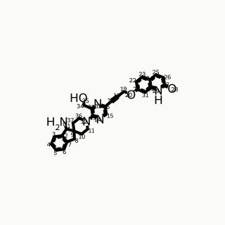 NC1c2ccccc2CC12CCN(c1ncc(C#CCOc3ccc4ccc(=O)[nH]c4c3)nc1CO)CC2